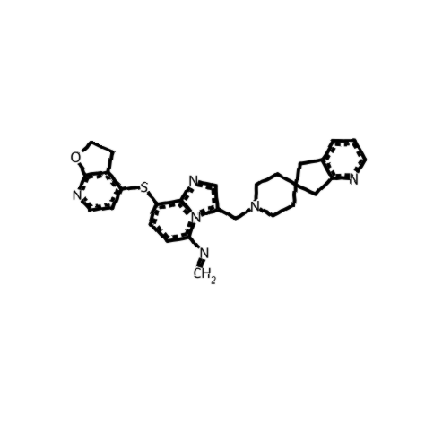 C=Nc1ccc(Sc2ccnc3c2CCO3)c2ncc(CN3CCC4(CC3)Cc3cccnc3C4)n12